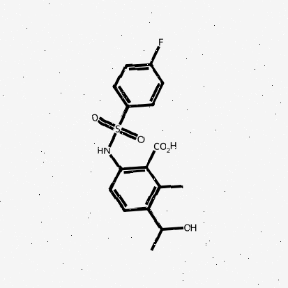 Cc1c(C(C)O)ccc(NS(=O)(=O)c2ccc(F)cc2)c1C(=O)O